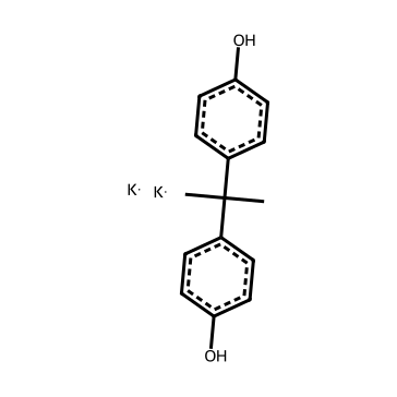 CC(C)(c1ccc(O)cc1)c1ccc(O)cc1.[K].[K]